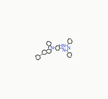 c1ccc(C2=NC(c3ccccc3)NC(c3ccc(-n4c5ccccc5c5c6ccc(-c7ccccc7)cc6ccc54)cc3)=N2)cc1